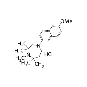 COc1ccc2cc(N3CCC(C)(C)N(C)C(C)(C)C3)ccc2c1.Cl